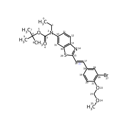 CCN(C(=O)OC(C)(C)C)c1ccc2nc(/C=C/c3ccc(OCOC)c(Br)c3)sc2c1